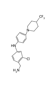 NCc1ccc(Nc2ccc(N3CCC(C(F)(F)F)CC3)cc2)cc1Cl